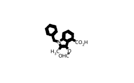 Cc1c(OC=O)c2c(C(=O)O)cccc2n1Cc1ccccc1